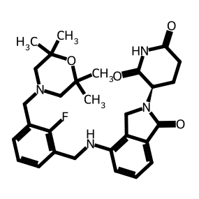 CC1(C)CN(Cc2cccc(CNc3cccc4c3CN([C@@H]3CCC(=O)NC3=O)C4=O)c2F)CC(C)(C)O1